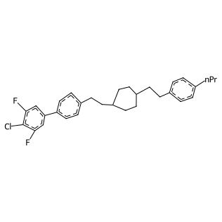 CCCc1ccc(CCC2CCC(CCc3ccc(-c4cc(F)c(Cl)c(F)c4)cc3)CC2)cc1